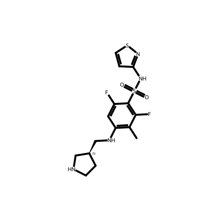 Cc1c(NC[C@H]2CCNC2)cc(F)c(S(=O)(=O)Nc2ccsn2)c1F